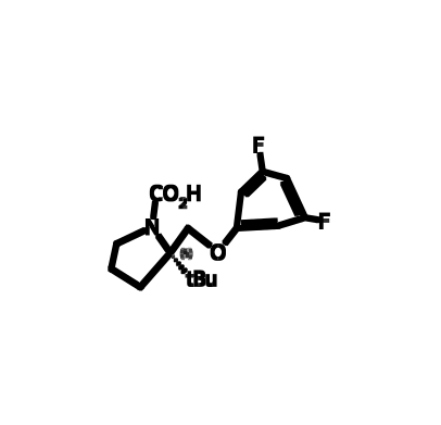 CC(C)(C)[C@]1(COc2cc(F)cc(F)c2)CCCN1C(=O)O